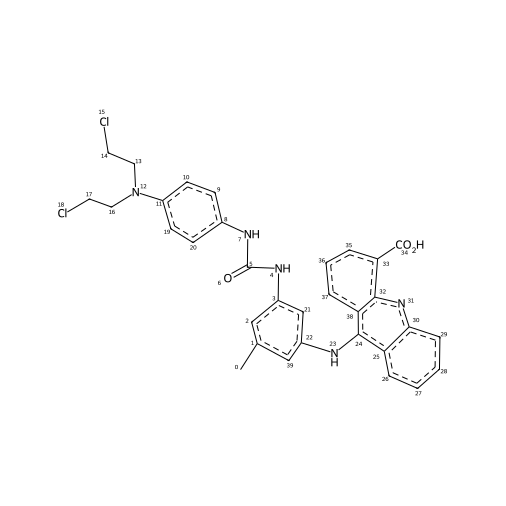 Cc1cc(NC(=O)Nc2ccc(N(CCCl)CCCl)cc2)cc(Nc2c3ccccc3nc3c(C(=O)O)cccc23)c1